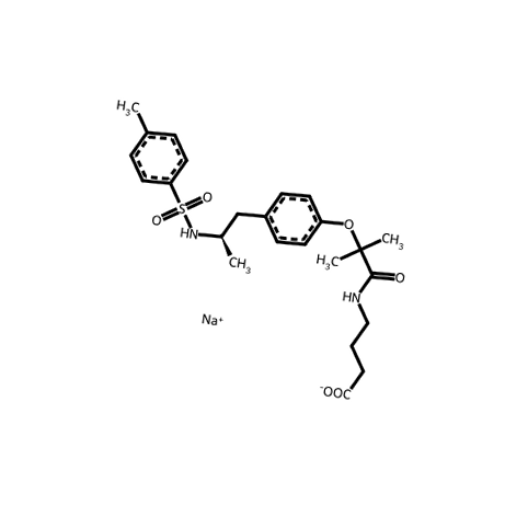 Cc1ccc(S(=O)(=O)N[C@H](C)Cc2ccc(OC(C)(C)C(=O)NCCCC(=O)[O-])cc2)cc1.[Na+]